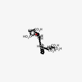 O=C(O)CC[C@H](NC(=O)N[C@@H](CCCCNC(=O)[C@H](Cc1ccc2ccccc2c1)NC(=O)CCCCCNC(=S)Nc1ccc(CC2CN(CC(=O)O)CCN(CC(=O)O)CCN(CC(=O)O)CCN2CC(=O)O)cc1)C(=O)O)C(=O)O